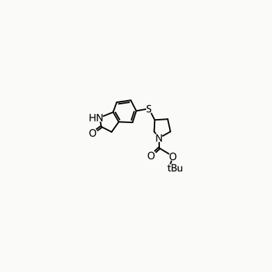 CC(C)(C)OC(=O)N1CCC(Sc2ccc3c(c2)CC(=O)N3)C1